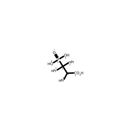 CCCC(C(=O)O)C(CCC)(CCC)P(=O)(O)O